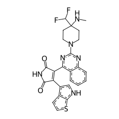 CNC1(C(F)F)CCN(c2nc(C3=C(c4c[nH]c5sccc45)C(=O)NC3=O)c3ccccc3n2)CC1